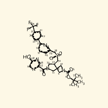 CC(C)(C)OC(=O)N1CC2(C1)CN(C(=O)c1cnc(O)cn1)CC2CS(=O)(=O)Cc1cccc(-c2ccc(C(F)(F)F)cc2)n1